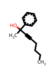 CCCCC#CC(C)(O)c1ccccc1